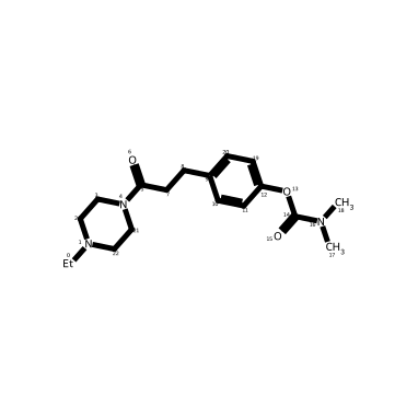 CCN1CCN(C(=O)CCc2ccc(OC(=O)N(C)C)cc2)CC1